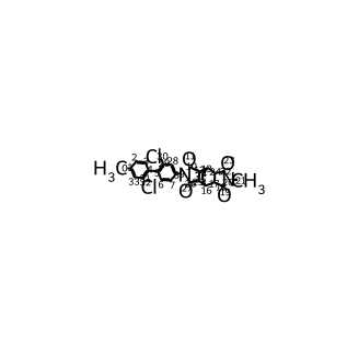 Cc1ccc(-c2ccc(N3C(=O)C4C5CCC(C6C(=O)N(C)C(=O)C56)C4C3=O)cc2Cl)c(Cl)c1